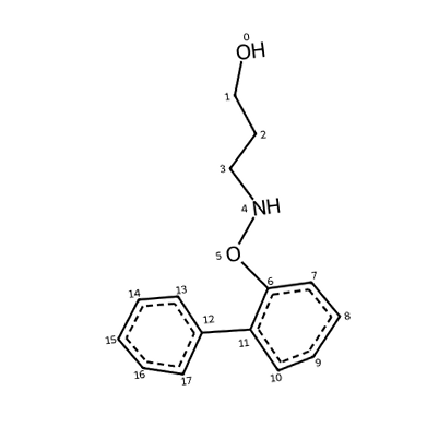 OCCCNOc1ccccc1-c1ccccc1